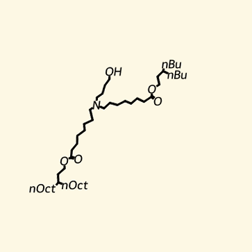 CCCCCCCCC(CCCCCCCC)CCOC(=O)CCCCCCCN(CCCCO)CCCCCCCC(=O)OCCC(CCCC)CCCC